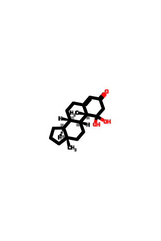 C[C@@]12CCC[C@H]1[C@@H]1CCC3=CC(=O)CC(O)(O)[C@]3(C)[C@@H]1CC2